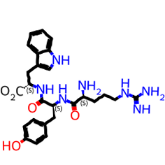 N=C(N)NCCC[C@H](N)C(=O)N[C@@H](Cc1ccc(O)cc1)C(=O)N[C@@H](Cc1c[nH]c2ccccc12)C(=O)O